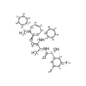 C[C@H](NC(=O)[C@H](O)c1cc(F)cc(F)c1)C(=O)N[C@@H]1C(=O)N(C)[C@H](c2ccccc2)C=C[C@@H]1c1ccccc1